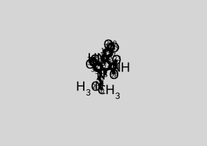 CN(C)CCn1cc(C2=C(c3c[nH]c4cc5c(cc34)OCO5)C(=O)NC2=O)c2cc3c(cc21)OCO3